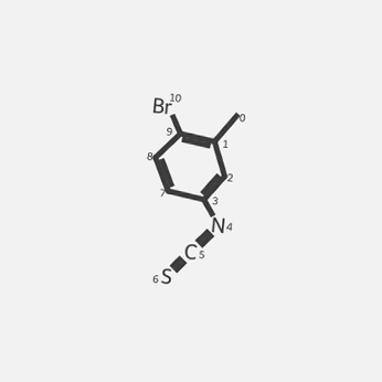 Cc1cc(N=C=S)ccc1Br